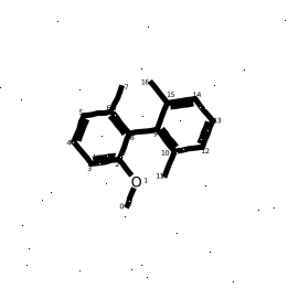 COc1cccc(C)c1-c1c(C)cccc1C